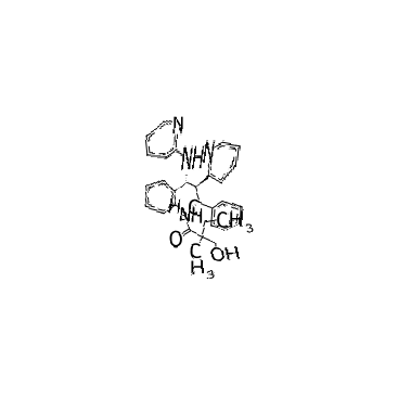 CCC(C)(CO)C(=O)Nc1ccccc1[C@H](Nc1ccccn1)[C@@H](c1ccccn1)[C@@H](C)c1ccccc1